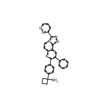 NC1(c2ccc(-c3nc4ccn5c(-c6cccnn6)nnc5c4cc3-c3ccccc3)cc2)CCC1